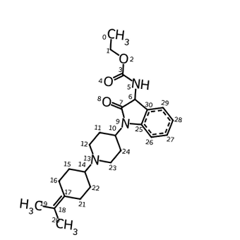 CCOC(=O)NC1C(=O)N(C2CCN(C3CCC(=C(C)C)CC3)CC2)c2ccccc21